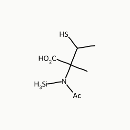 CC(=O)N([SiH3])C(C)(C(=O)O)C(C)S